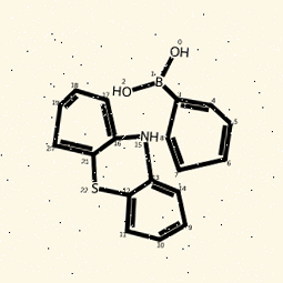 OB(O)c1ccccc1.c1ccc2c(c1)Nc1ccccc1S2